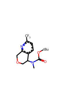 CN(C(=O)OC(C)(C)C)C1COCc2nc(C(F)(F)F)ccc21